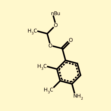 CCCCOC(C)OC(=O)c1ccc(N)c(C)c1C